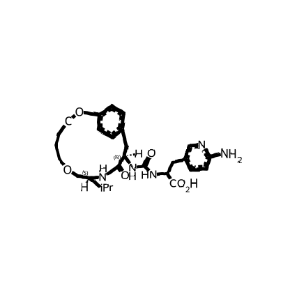 CC(C)[C@H]1COCCCCOc2ccc(cc2)C[C@@H](NC(=O)NC(Cc2ccc(N)nc2)C(=O)O)C(=O)N1